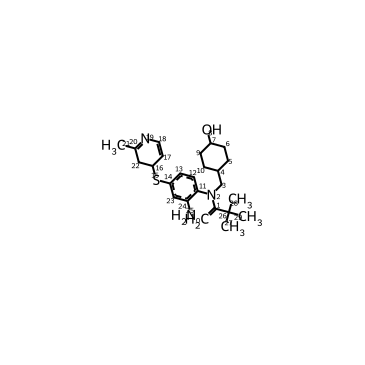 C=C(N(CC1CCC(O)CC1)c1ccc(SC2C=CN=C(C)C2)cc1N)C(C)(C)C